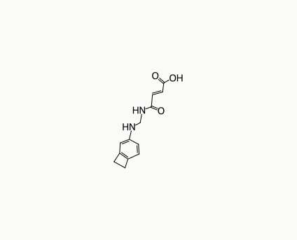 O=C(O)C=CC(=O)NCNc1ccc2c(c1)CC2